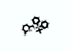 CC(C)(C)[Si](OCC1CCCC(=O)N1)(c1ccccc1)c1ccccc1